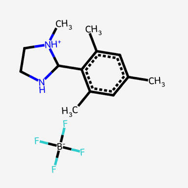 Cc1cc(C)c(C2NCC[NH+]2C)c(C)c1.F[B-](F)(F)F